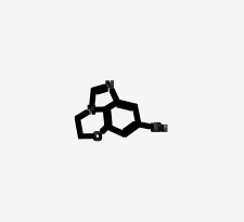 CC(C)(C)c1cc2c3c(c1)ncn3CCO2